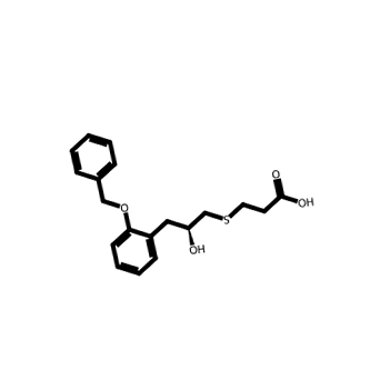 O=C(O)CCSC[C@@H](O)Cc1ccccc1OCc1ccccc1